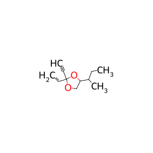 C#CC1(C=C)OCC(C(C)CC)O1